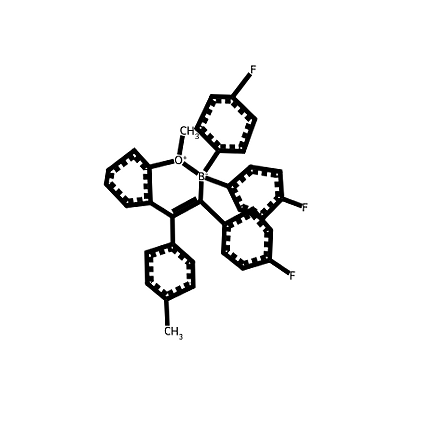 Cc1ccc(C2=C(c3ccc(F)cc3)[B-](c3ccc(F)cc3)(c3ccc(F)cc3)[O+](C)c3ccccc32)cc1